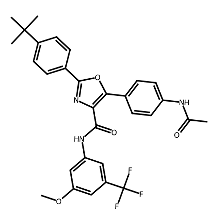 COc1cc(NC(=O)c2nc(-c3ccc(C(C)(C)C)cc3)oc2-c2ccc(NC(C)=O)cc2)cc(C(F)(F)F)c1